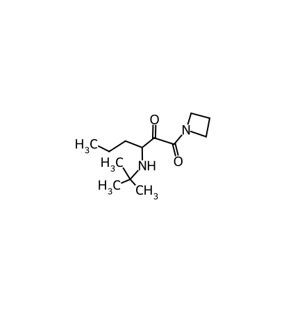 CCCC(NC(C)(C)C)C(=O)C(=O)N1CCC1